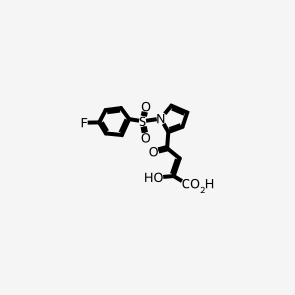 O=C(O)/C(O)=C/C(=O)c1cccn1S(=O)(=O)c1ccc(F)cc1